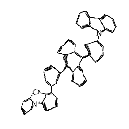 c1cc(-c2c3ccccc3c(-c3cccc(-n4c5ccccc5c5ccccc54)c3)c3ccccc23)cc(-c2cccc3c2oc2cccc[n+]23)c1